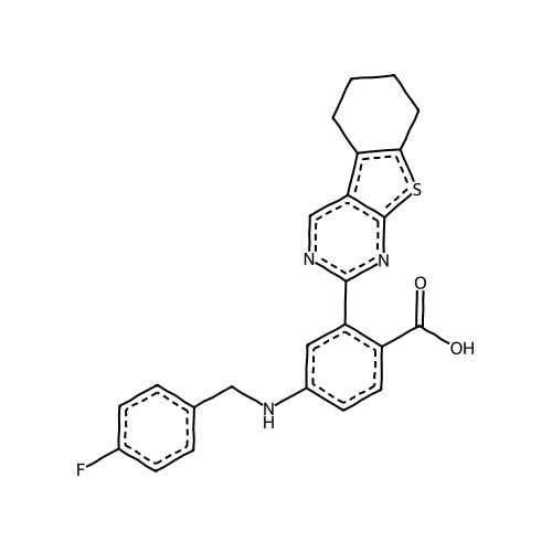 O=C(O)c1ccc(NCc2ccc(F)cc2)cc1-c1ncc2c3c(sc2n1)CCCC3